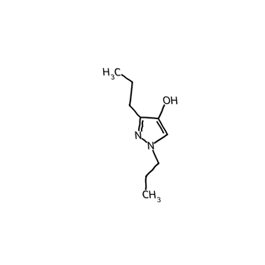 CCCc1nn(CCC)cc1O